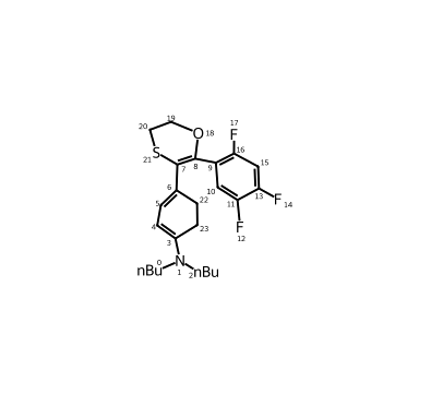 CCCCN(CCCC)C1=CC=C(C2=C(c3cc(F)c(F)cc3F)OCCS2)CC1